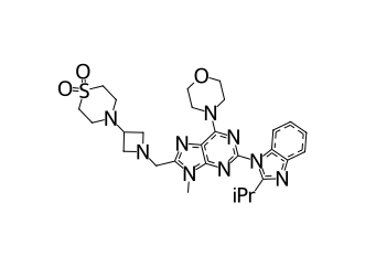 CC(C)c1nc2ccccc2n1-c1nc(N2CCOCC2)c2nc(CN3CC(N4CCS(=O)(=O)CC4)C3)n(C)c2n1